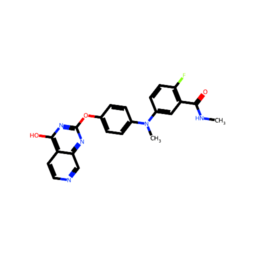 CNC(=O)c1cc(N(C)c2ccc(Oc3nc(O)c4ccncc4n3)cc2)ccc1F